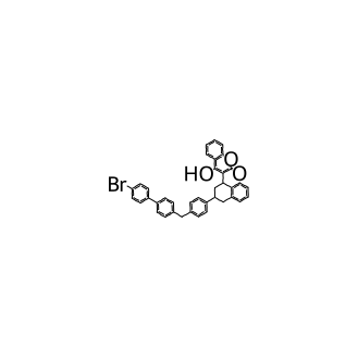 O=c1oc2ccccc2c(O)c1C1CC(c2ccc(Cc3ccc(-c4ccc(Br)cc4)cc3)cc2)Cc2ccccc21